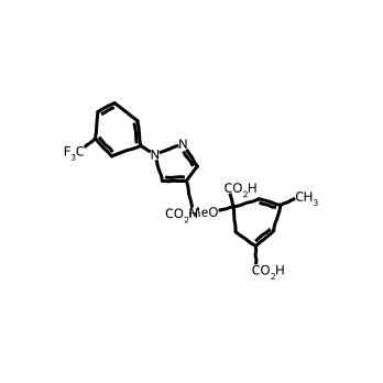 COC1(C(=O)O)C=C(C)C=C(C(=O)O)C1.O=C(O)c1cnn(-c2cccc(C(F)(F)F)c2)c1